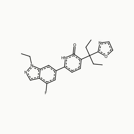 CCn1ncc2c(F)cc(-c3ccc(C(CC)(CC)c4ncco4)c(=O)[nH]3)cc21